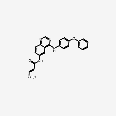 O=C(O)C=CC(=O)Nc1ccc2ncnc(Nc3ccc(Oc4ccccc4)cc3)c2c1